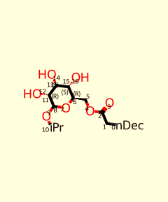 CCCCCCCCCCCC(=O)OC[C@H]1OC(OC(C)C)[C@H](O)[C@@H](O)[C@@H]1O